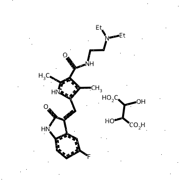 CCN(CC)CCNC(=O)c1c(C)[nH]c(C=C2C(=O)Nc3ccc(F)cc32)c1C.O=C(O)C(O)C(O)C(=O)O